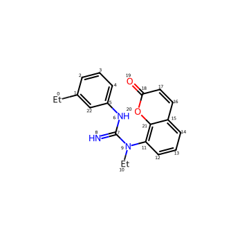 CCc1cccc(NC(=N)N(CC)c2cccc3ccc(=O)oc23)c1